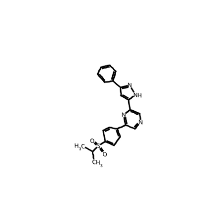 CC(C)S(=O)(=O)c1ccc(-c2cncc(-c3cc(-c4ccccc4)n[nH]3)n2)cc1